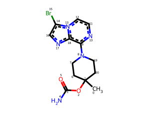 CC1(OC(N)=O)CCN(c2nccn3c(Br)cnc23)CC1